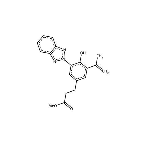 C=C(C)c1cc(CCC(=O)OC)cc(-n2nc3ccccc3n2)c1O